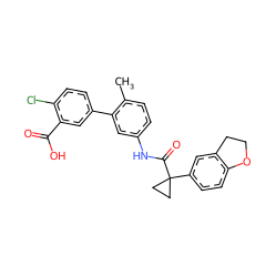 Cc1ccc(NC(=O)C2(c3ccc4c(c3)CCO4)CC2)cc1-c1ccc(Cl)c(C(=O)O)c1